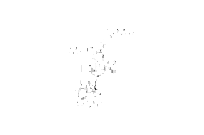 COCCCOc1cc(C(=O)N(C(C)C)C2CNCC(CNC(=O)c3cccc(OC)c3)C2)ccc1OC